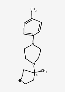 Cc1ccc(N2CCN([C@@]3(C)CCNC3)CC2)cc1